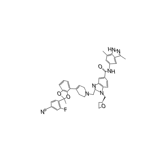 Cc1n[nH]c2c(C)cc(NC(=O)c3ccc4c(c3)nc(CN3CC=C(c5cccc6c5OC(C)(c5ccc(C#N)cc5F)O6)CC3)n4C[C@@H]3CCO3)cc12